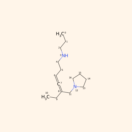 CCCNCCC=C=C(CC)CN1CCCC1